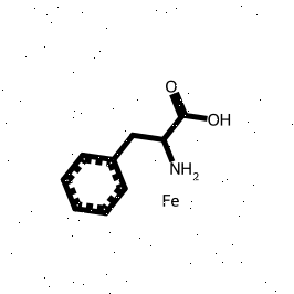 NC(Cc1ccccc1)C(=O)O.[Fe]